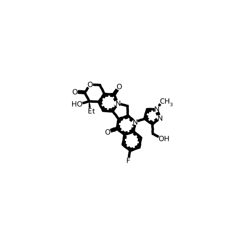 CC[C@@]1(O)C(=O)OCc2c1cc1n(c2=O)Cc2c-1c(=O)c1cc(F)ccc1n2-c1cn(C)nc1CO